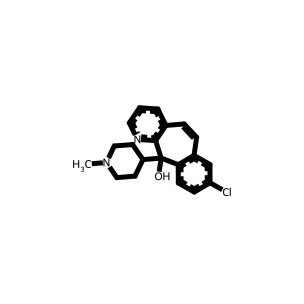 CN1CCC(C2(O)c3ccc(Cl)cc3C=Cc3cccnc32)CC1